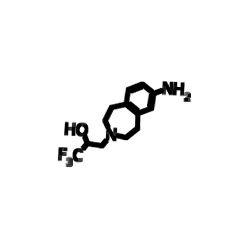 Nc1ccc2c(c1)CCN(CC(O)C(F)(F)F)CC2